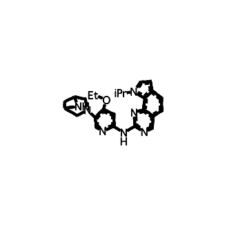 CCOc1cc(Nc2ncc3ccc4ccn(C(C)C)c4c3n2)ncc1N1CC2CC(C1)N2